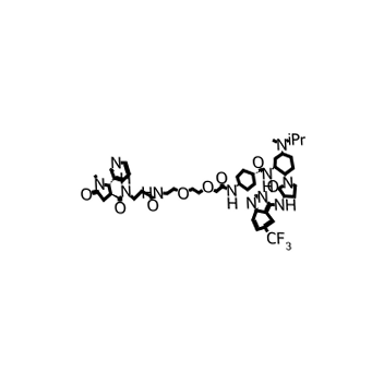 CC(C)N(C)[C@@H]1CC[C@H](N2CC[C@H](Nc3ncnc4ccc(C(F)(F)F)cc34)C2=O)[C@H](NC(=O)[C@H]2CC[C@@H](NC(=O)COCCOCCNC(=O)CCNC(=O)[C@H]3CC(=O)N(C)[C@@H]3c3cccnc3)CC2)C1